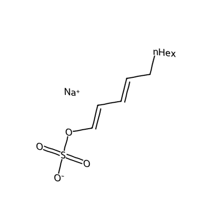 CCCCCCCC=CC=COS(=O)(=O)[O-].[Na+]